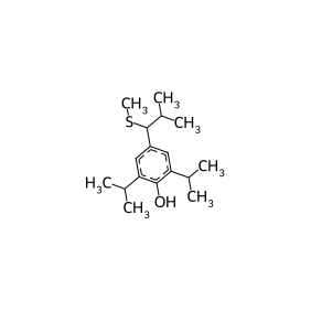 CSC(c1cc(C(C)C)c(O)c(C(C)C)c1)C(C)C